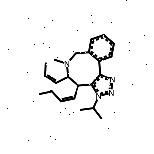 C/C=C\C1C(/C=C\CC)c2c(nnn2C(C)C)-c2ccccc2CN1C